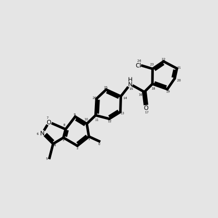 Cc1cc2c(C)noc2cc1-c1ccc(NC(=O)c2ccccc2Cl)cc1